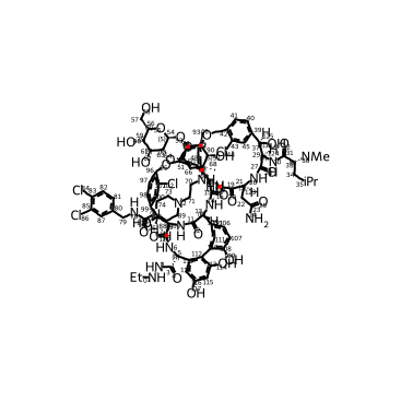 CCNNC(=O)[C@@H]1NC(=O)[C@H]2NC(=O)[C@H](NC(=O)[C@@H]3NC(=O)[C@H](CC(N)=O)NC(=O)[C@H](NC(=O)[C@@H](CC(C)C)NC)[C@H](O)c4ccc(c(Cl)c4)Oc4cc3cc(c4O[C@@H]3O[C@H](CO)[C@@H](O)[C@H](O)[C@H]3O[C@H]3C[C@](C)(NCCN4CCN(C(=O)NCc5ccc(Cl)c(Cl)c5)CC4)[C@H](O)[C@H](C)O3)Oc3ccc(cc3Cl)[C@H]2O)c2ccc(O)c(c2)-c2c(O)cc(O)cc21